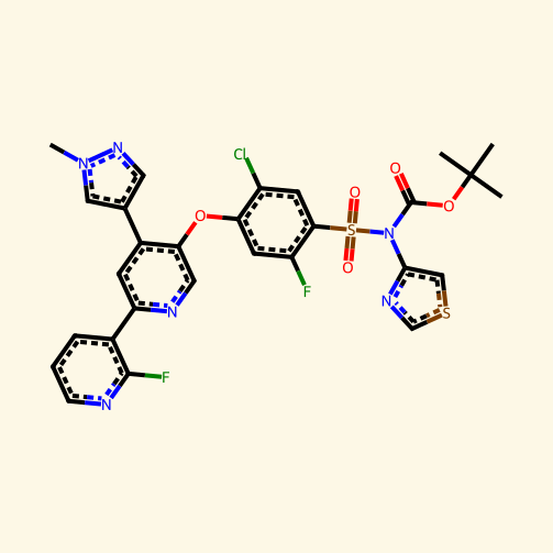 Cn1cc(-c2cc(-c3cccnc3F)ncc2Oc2cc(F)c(S(=O)(=O)N(C(=O)OC(C)(C)C)c3cscn3)cc2Cl)cn1